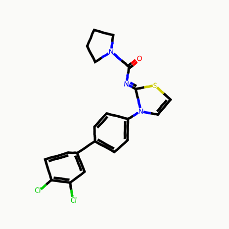 O=C(N=c1sccn1-c1ccc(-c2ccc(Cl)c(Cl)c2)cc1)N1CCCC1